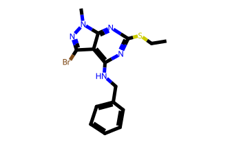 CCSc1nc(NCc2ccccc2)c2c(Br)nn(C)c2n1